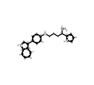 NC(CCCOc1ccc(-c2csc3ccccc23)cc1)c1cccs1